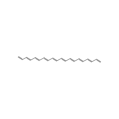 C=C/C=C/C=C/[C]=C/C=C/C=C/C=C/C=C/C=C/C=C